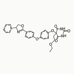 CCOCCC1(Oc2ccc(Oc3ccc(C4=NC(c5ccccc5)CO4)cc3)cc2)C(=O)NC(=O)NC1=O